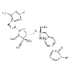 C#C[C@@]1(OC(C)=O)[C@@H](COC(Cc2ccc(-c3cccn(CCC)c3=O)cc2)(C(=O)OCC)C(=O)OCC)O[C@@H](n2cnc3c(N)nc(Cl)nc32)[C@@H]1OC(C)=O